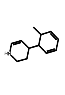 CC1C=CC=CC1C1C=CNCC1